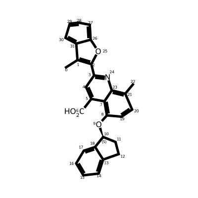 Cc1c(-c2cc(C(=O)O)c3c(O[C@H]4CCc5ccccc54)ccc(C)c3n2)oc2ccccc12